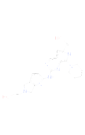 C[C@@H](O)c1cc2cnc(Nc3ccc4c(n3)CN(CCO)C4)nc2c(N2CCCCC2)n1